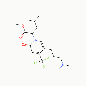 COC(=O)C(CC(C)C)n1cc(CCCN(C)C)c(C(F)(F)F)cc1=O